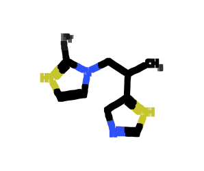 CC(C)C1=[SH]C=CN1CC(C)C1=[SH]C=NC1